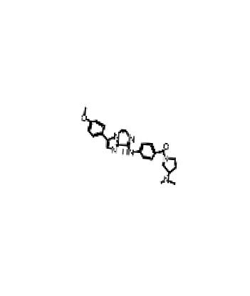 COc1ccc(-c2cnc3c(Nc4ccc(C(=O)N5CCC(N(C)C)C5)cc4)nccn23)cc1